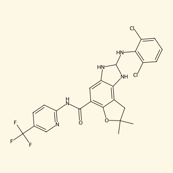 CC1(C)Cc2c3c(cc(C(=O)Nc4ccc(C(F)(F)F)cn4)c2O1)NC(Nc1c(Cl)cccc1Cl)N3